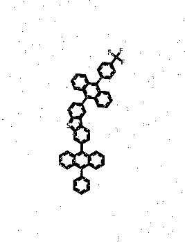 FC(F)(F)c1ccc(-c2c3ccccc3c(-c3ccc4sc5cc(-c6c7ccccc7c(-c7ccccc7)c7ccccc67)ccc5c4c3)c3ccccc23)cc1